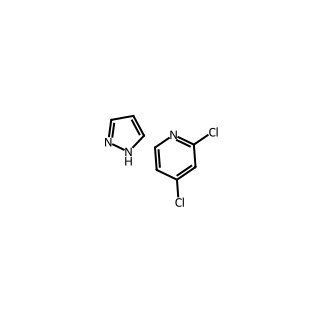 Clc1ccnc(Cl)c1.c1cn[nH]c1